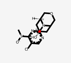 C[S+]([O-])c1nc(N2C3COC[C@@H]2C[C@@H](O)C3)ncc1Cl